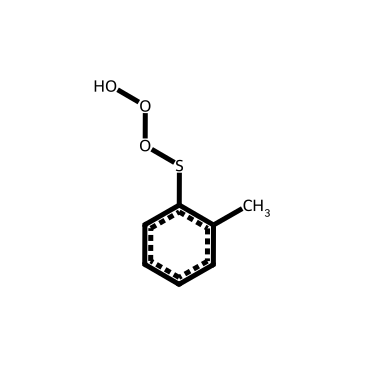 Cc1ccccc1SOOO